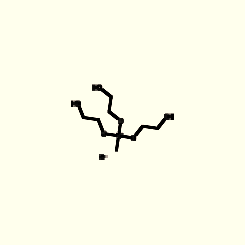 C[N+](OCCO)(OCCO)OCCO.[Br-]